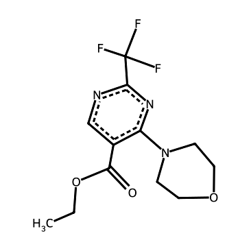 CCOC(=O)c1cnc(C(F)(F)F)nc1N1CCOCC1